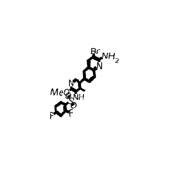 COc1ncc(-c2ccc3nc(N)c(Br)cc3c2)c(C)c1NS(=O)(=O)c1ccc(F)cc1F